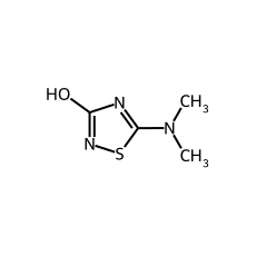 CN(C)c1nc(O)ns1